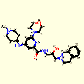 CC(=O)N1CCC(Nc2cc(C(=O)NCC(O)CN3CCc4ccccc4C3)nc(N3CCOCC3)c2)CC1